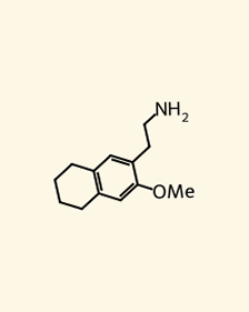 COc1cc2c(cc1CCN)CCCC2